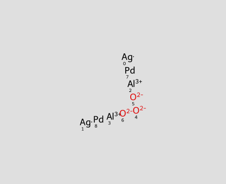 [Ag].[Ag].[Al+3].[Al+3].[O-2].[O-2].[O-2].[Pd].[Pd]